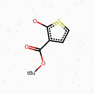 CC(C)(C)OC(=O)c1ccsc1[O]